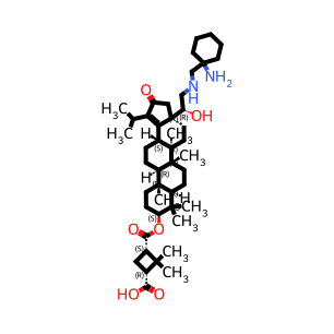 CC(C)C1=C2[C@H]3CC[C@@H]4[C@@]5(C)CC[C@H](OC(=O)[C@H]6C[C@@H](C(=O)O)C6(C)C)C(C)(C)[C@@H]5CC[C@@]4(C)[C@]3(C)CC[C@@]2([C@@H](O)CNCC2(N)CCCCC2)CC1=O